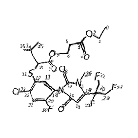 CCOC(=O)CCOC(=O)C(Sc1cc(-n2c(=O)cc(C(F)(F)CF)n(C)c2=O)c(F)cc1Cl)C(C)C